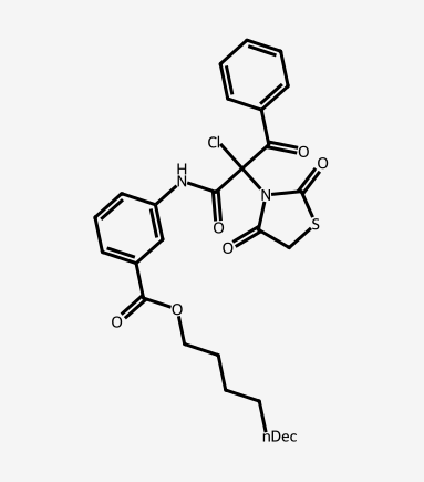 CCCCCCCCCCCCCCOC(=O)c1cccc(NC(=O)C(Cl)(C(=O)c2ccccc2)N2C(=O)CSC2=O)c1